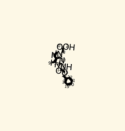 O=C(O)Cn1cnc2c(I)nc(NC(=O)OCc3ccccc3)nc21